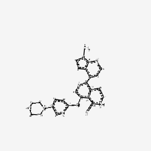 Cn1ccc2c(-c3ncc(Nc4ccc(N5CCOCC5)cn4)c4c(=O)[nH]ccc34)ccnc21